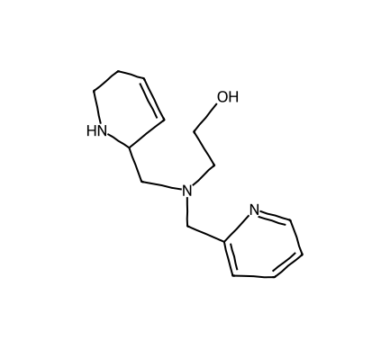 OCCN(Cc1ccccn1)CC1C=CCCN1